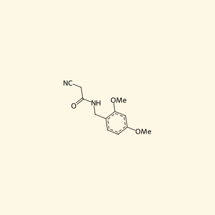 COc1ccc(CNC(=O)CC#N)c(OC)c1